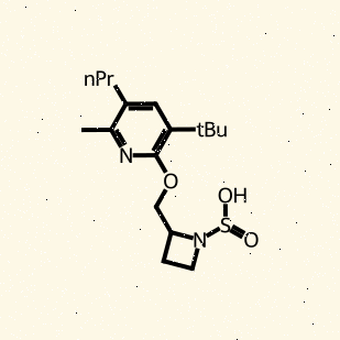 CCCc1cc(C(C)(C)C)c(OCC2CCN2S(=O)O)nc1C